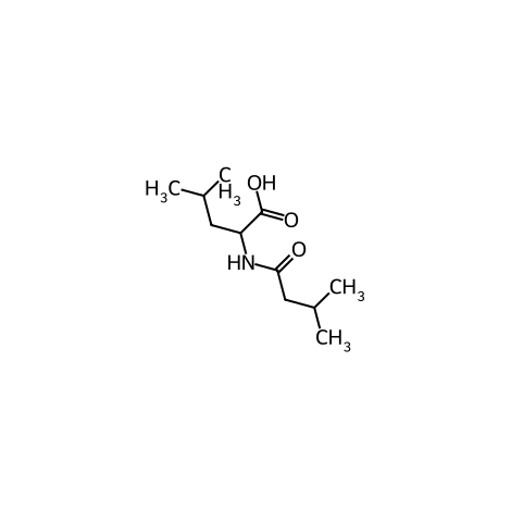 CC(C)CC(=O)NC(CC(C)C)C(=O)O